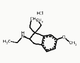 CCNC1Cc2ccc(OC)cc2C1(CC)CC.Cl